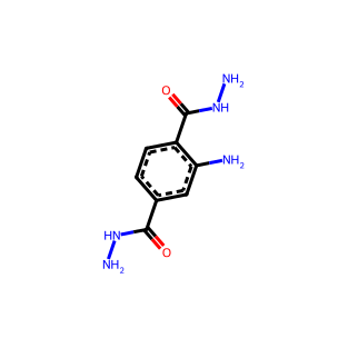 NNC(=O)c1ccc(C(=O)NN)c(N)c1